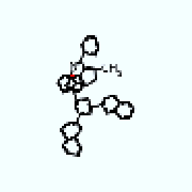 C/C1=C(c2ccccc2)\C(c2ccccc2)=N/c2cccc(-c3cc(-c4ccc5ccccc5c4)cc(-c4ccc5ccccc5c4)c3)c2CC1